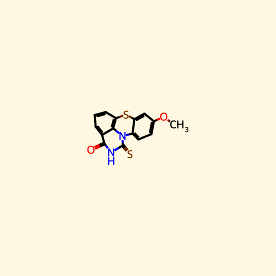 COc1ccc2c(c1)Sc1cccc3c(=O)[nH]c(=S)n-2c13